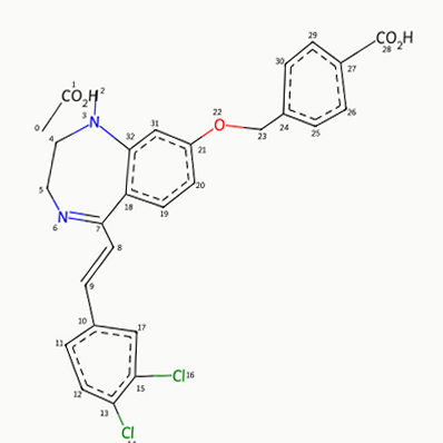 CC(=O)O.CN1CCN=C(C=Cc2ccc(Cl)c(Cl)c2)c2ccc(OCc3ccc(C(=O)O)cc3)cc21